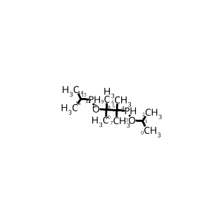 CC(C)OPC(C)(C)C(C)(C)OPC(C)C